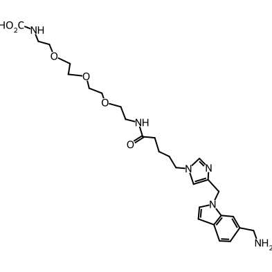 NCc1ccc2ccn(Cc3cn(CCCCC(=O)NCCOCCOCCOCCNC(=O)O)cn3)c2c1